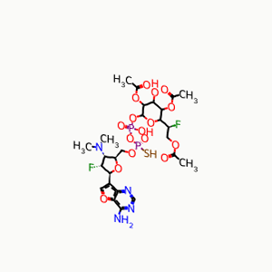 CC(=O)OC[C@H](F)C1OC(OP(=O)(O)OP(=O)(S)OC[C@H]2O[C@@H](c3coc4c(N)ncnc34)[C@H](F)[C@@H]2N(C)C)C(OC(C)=O)C(O)C1OC(C)=O